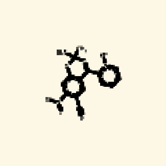 CC1(C)N=C(c2cccc[n+]2[O-])c2cc(C#N)c([N+](=O)[O-])cc2O1